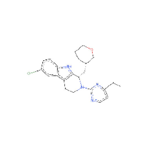 CCc1ccnc(N2CCc3c([nH]c4ccc(Cl)cc34)[C@@H]2C[C@@H]2CCCOC2)n1